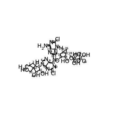 C=C1C[C@@H]2[C@@H](n3cnc4c(NO[C@H]5[C@H](n6cnc7c(N)nc(Cl)nc76)[C@H]6C[C@@]6(COP(=O)(O)OP(=O)(O)O)[C@H]5O)nc(Cl)nc43)[C@H](O)[C@H](O)[C@]12CO